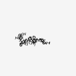 Cc1c(COc2cc(CC3CCC(C(=O)O)NC3)c(C=O)cc2Cl)cccc1-c1cccn(CCCN2CCC(O)C2)c1=O